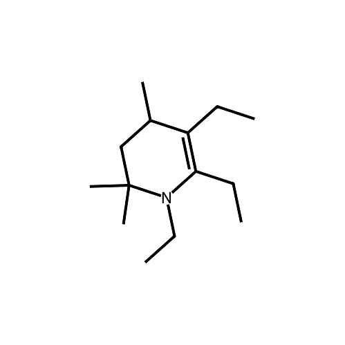 CCC1=C(CC)N(CC)C(C)(C)CC1C